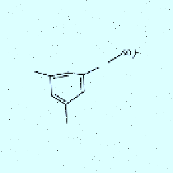 CS(=O)(=O)O.Cc1cc(C)cc(C)c1